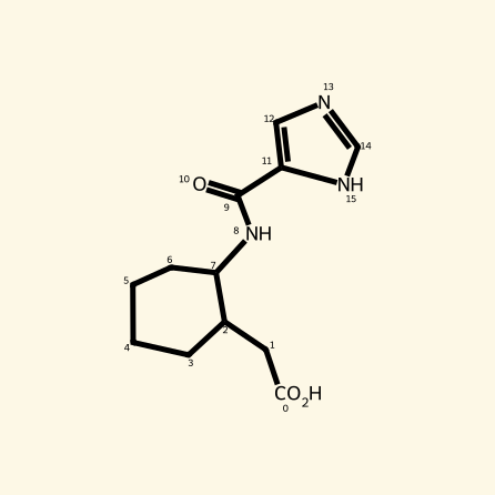 O=C(O)CC1CCCCC1NC(=O)c1cnc[nH]1